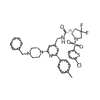 Cc1ccc(-c2cc(CNC(=O)[C@@H]3CC(F)(F)CN3S(=O)(=O)c3ccc(Cl)s3)cc(N3CCN(Cc4ccccc4)CC3)n2)cc1